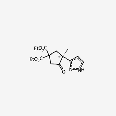 CCOC(=O)C1(C(=O)OCC)CC(=O)[C@](C)(c2cc[nH]n2)C1